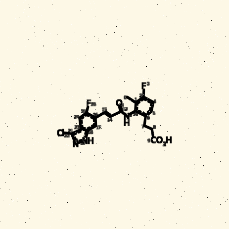 Cc1c(F)ccc(CCC(=O)O)c1NC(=O)C=Cc1cc2[nH]nc(Cl)c2cc1F